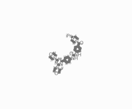 CC(C)N1CCN(C(=O)c2ccc(NC(=O)Nc3ccc(-c4nc(N5CCOCC5)nc(N5CCOC[C@@H]5C)n4)cc3)cc2)CC1